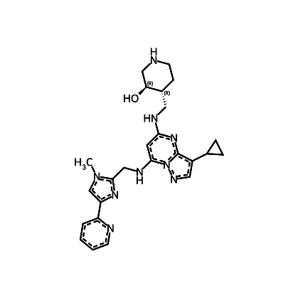 Cn1cc(-c2ccccn2)nc1CNc1cc(NC[C@H]2CCNC[C@@H]2O)nc2c(C3CC3)cnn12